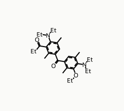 CCOc1c(C)c(C(=O)c2cc(C)c(N(CC)CC)c(C(=O)CC)c2C)cc(C)c1N(CC)CC